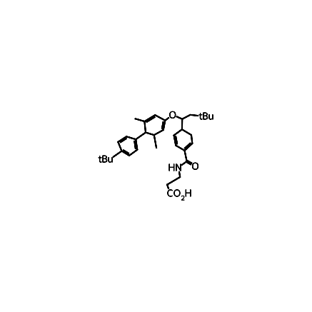 CC1=CC(OC(CC(C)(C)C)C2C=CC(C(=O)NCCC(=O)O)=CC2)=CC(C)C1c1ccc(C(C)(C)C)cc1